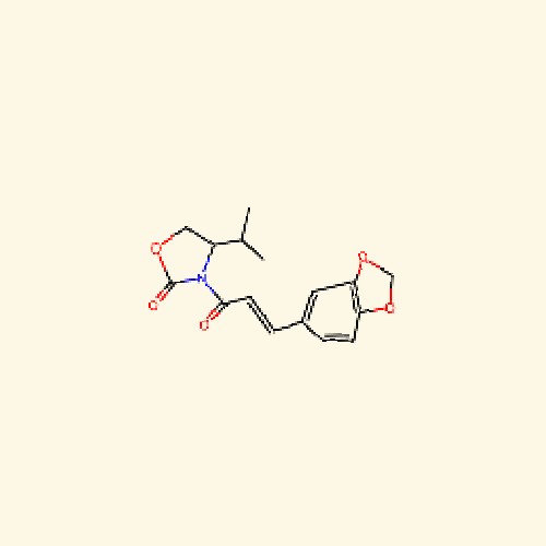 CC(C)C1COC(=O)N1C(=O)C=Cc1ccc2c(c1)OCO2